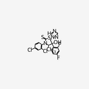 C[C@@H](N(C(=S)S)c1ccc(Cl)cc1Cl)[C@](O)(Cn1cncn1)c1ccc(F)cc1F